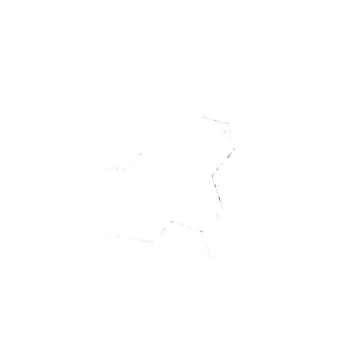 CC(C)=CCCC(C)CCO.CS(=O)(=O)O